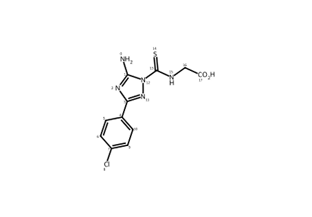 Nc1nc(-c2ccc(Cl)cc2)nn1C(=S)NCC(=O)O